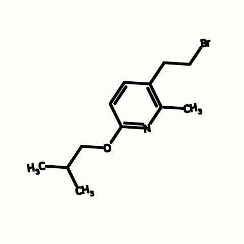 Cc1nc(OCC(C)C)ccc1CCBr